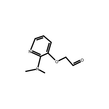 CN(C)c1ncccc1OCC=O